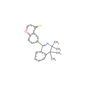 CC1(C)N=C(c2ccc3occc(=S)c3c2)c2ccccc2C1(C)C